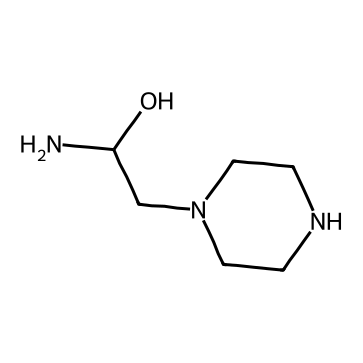 NC(O)CN1CCNCC1